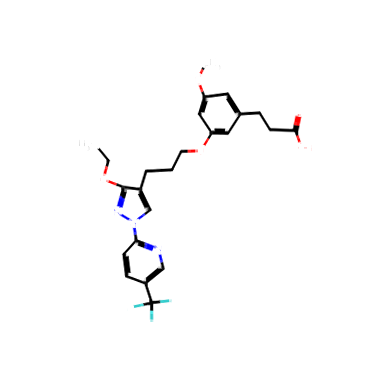 CCOc1nn(-c2ccc(C(F)(F)F)cn2)cc1CCCOc1cc(CCC(=O)O)cc(OC)c1